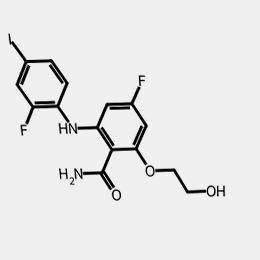 NC(=O)c1c(Nc2ccc(I)cc2F)cc(F)cc1OCCO